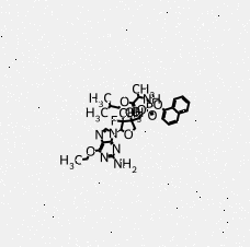 CCOc1nc(N)nc2c1ncn2[C@@H]1OCC(O)(COP(=O)(NC(C)C(=O)OCC(C)C)Oc2cccc3ccccc23)[C@@]1(C)F